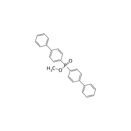 COP(=O)(c1ccc(-c2ccccc2)cc1)c1ccc(-c2ccccc2)cc1